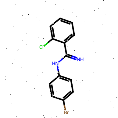 N=C(Nc1ccc(Br)cc1)c1ccccc1Cl